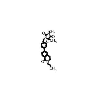 CCCN1CCc2cc(-c3ccc(CN4C(=O)N(C)C(=O)C4(C)C)cc3)ccc2C1=O